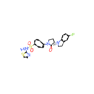 O=C1[C@@H](N2CCc3cc(F)ccc32)CCN1c1ccc(S(=O)(=O)Nc2nccs2)cc1